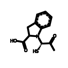 CC(=O)[C@H](S)N1c2ccccc2CC1C(=O)O